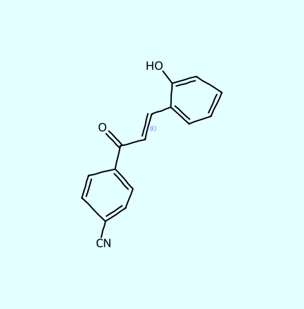 N#Cc1ccc(C(=O)/C=C/c2ccccc2O)cc1